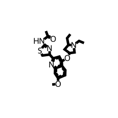 CCC1CC(Oc2cc(C3CSC(NC(C)=O)=N3)nc3cc(OC)ccc23)CN1CC